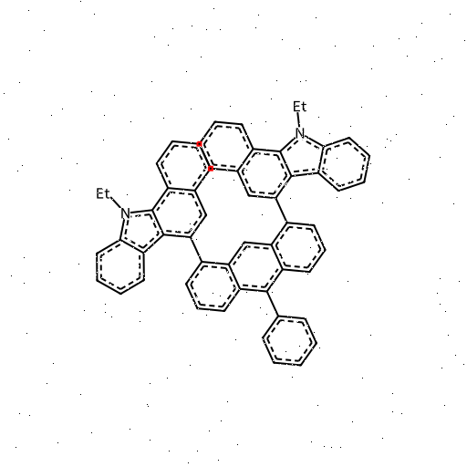 CCn1c2ccccc2c2c(-c3cccc4c(-c5ccccc5)c5cccc(-c6cc7ccccc7c7c6c6ccccc6n7CC)c5cc34)cc3ccccc3c21